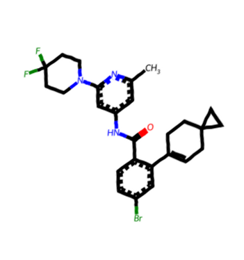 Cc1cc(NC(=O)c2ccc(Br)cc2C2=CCC3(CC2)CC3)cc(N2CCC(F)(F)CC2)n1